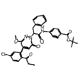 CCC(=O)c1ccc(Cl)cc1-c1cc(=O)n(C(Cc2ccccc2)C(=O)Nc2ccc(C(=O)OC(C)(C)C)cc2)nc1OC